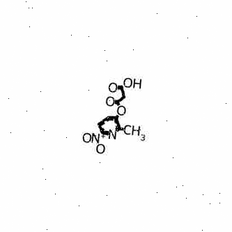 Cc1nc([N+](=O)[O-])ccc1OC(=O)CC(=O)O